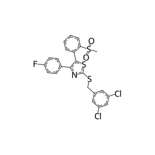 CS(=O)(=O)c1ccccc1-c1sc(SCc2cc(Cl)cc(Cl)c2)nc1-c1ccc(F)cc1